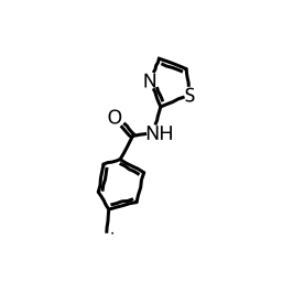 [CH2]c1ccc(C(=O)Nc2nccs2)cc1